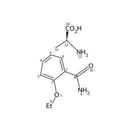 CCOc1ccccc1C(N)=O.C[C@H](N)C(=O)O